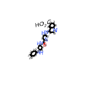 O=C(O)c1ccc2nccc(Nc3ccc(C(=O)Nc4ccc(Nc5ccccc5)cc4)nc3)c2c1